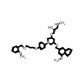 CNC[C@@H](O)COC1CC(OCc2cc(OC)c3ccccc3c2)CN(c2ccc(OCCCOCc3ccccc3OC)cc2)C1